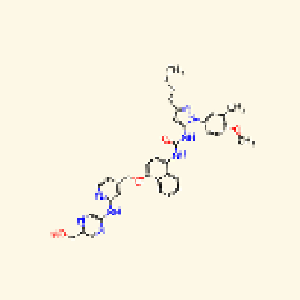 CCCCc1cc(NC(=O)Nc2ccc(OCc3ccnc(Nc4cnc(CO)cn4)c3)c3ccccc23)n(-c2ccc(OC)c(C)c2)n1